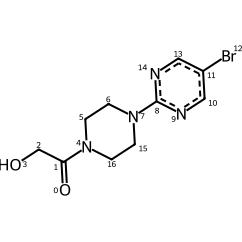 O=C(CO)N1CCN(c2ncc(Br)cn2)CC1